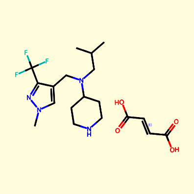 CC(C)CN(Cc1cn(C)nc1C(F)(F)F)C1CCNCC1.O=C(O)/C=C/C(=O)O